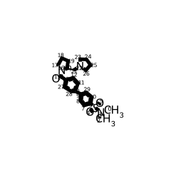 CN(C)S(=O)(=O)c1ccc(-c2ccc(C(=O)N3CCC[C@H]3CN3CCCC3)cc2)cc1